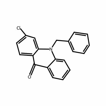 O=c1c2ccccc2n(Cc2ccccc2)c2cc(Cl)ccc12